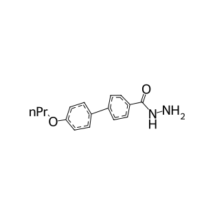 CCCOc1ccc(-c2ccc(C(=O)NN)cc2)cc1